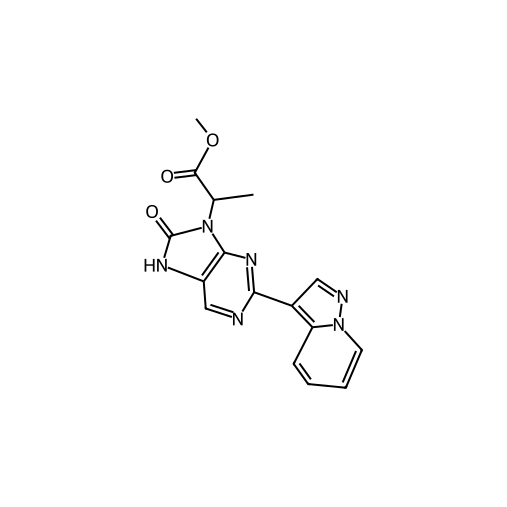 COC(=O)C(C)n1c(=O)[nH]c2cnc(-c3cnn4ccccc34)nc21